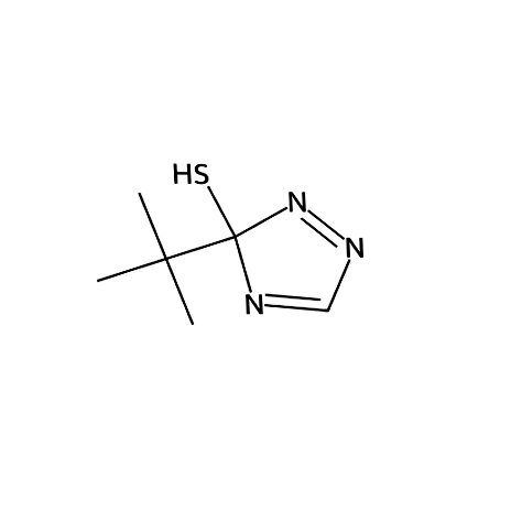 CC(C)(C)C1(S)N=CN=N1